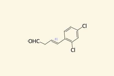 O=[C]C/C=C/c1ccc(Cl)cc1Cl